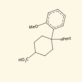 CCCCCC1(c2ccccc2OC)CCC(C(=O)O)CC1